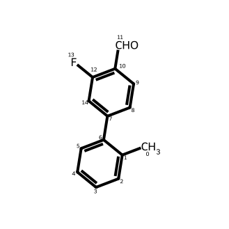 Cc1ccccc1-c1ccc(C=O)c(F)c1